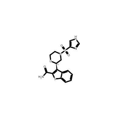 NC(=O)c1sc2ccccc2c1[C@@H]1CN(S(=O)(=O)c2c[nH]cn2)CCO1